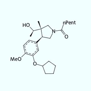 CCCCCC(=O)N1C[C@@H](c2ccc(OC)c(OC3CCCC3)c2)[C@](C)([C@@H](C)O)C1